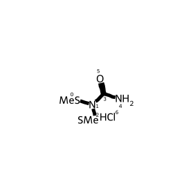 CSN(SC)C(N)=O.Cl